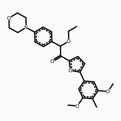 CCOC(C(=O)c1ccc(-c2cc(OC)c(C)c(OC)c2)o1)c1ccc(N2CCOCC2)cc1